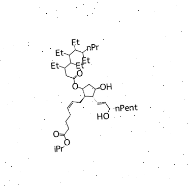 CCCCC[C@H](O)/C=C/[C@H]1[C@H](O)CC(OC(=O)CC(CC)C(CC)C(CC)C(CC)C(CC)CCC)[C@@H]1C/C=C\CCCC(=O)OC(C)C